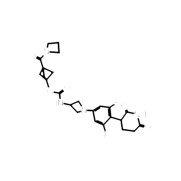 O=C1CCC(c2c(F)cc(N3CC(NC(=O)OC45CC(C(=O)N6CCC6)(C4)C5)C3)cc2F)C(=O)N1